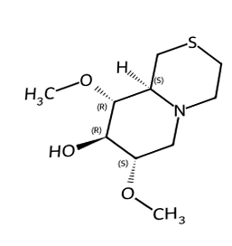 CO[C@H]1[C@H](O)[C@@H](OC)CN2CCSC[C@H]12